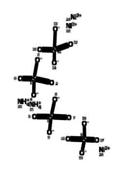 O=S(=O)([O-])[O-].O=S(=O)([O-])[O-].O=S(=O)([O-])[O-].O=S(=O)([O-])[O-].[NH4+].[NH4+].[Ni+2].[Ni+2].[Ni+2]